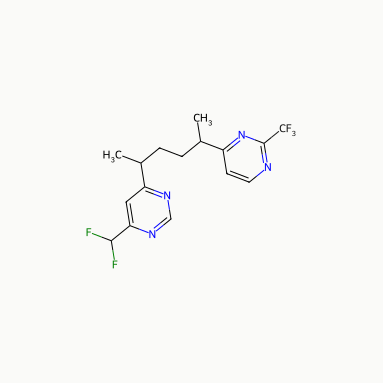 CC(CCC(C)c1ccnc(C(F)(F)F)n1)c1cc(C(F)F)ncn1